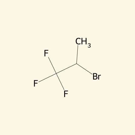 CC(Br)C(F)(F)F